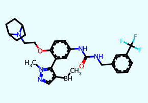 CBc1cnn(C)c1-c1cc(NC(=O)NCc2cccc(C(F)(F)F)c2)ccc1OCCN1C2CCC1CC2